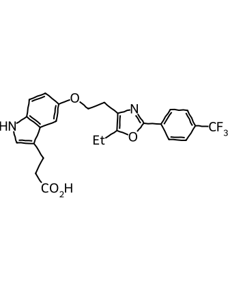 CCc1oc(-c2ccc(C(F)(F)F)cc2)nc1CCOc1ccc2[nH]cc(CCC(=O)O)c2c1